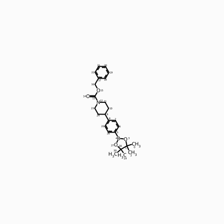 CC1(C)OB(c2ccc(C3CCN(C(=O)OCc4ccccc4)CC3)cc2)OC1(C)C